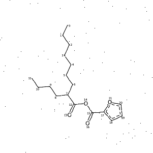 CCCCCCCC(CCCC)C(=O)OC(=O)c1ccco1